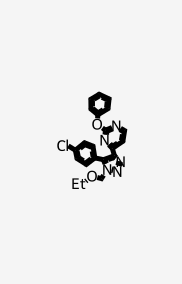 CCOCn1nnc(-c2ccnc(Oc3ccccc3)n2)c1-c1ccc(Cl)cc1